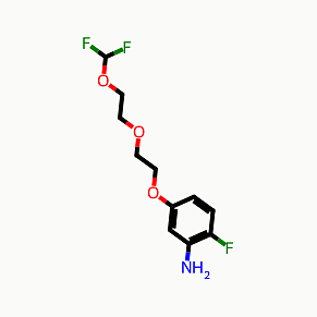 Nc1cc(OCCOCCOC(F)F)ccc1F